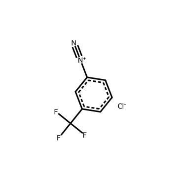 N#[N+]c1cccc(C(F)(F)F)c1.[Cl-]